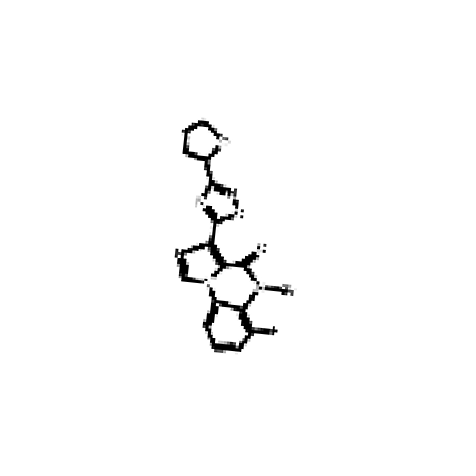 CC(C)n1c(=O)c2c(-c3nc(C4CCCO4)no3)ncn2c2cccc(F)c21